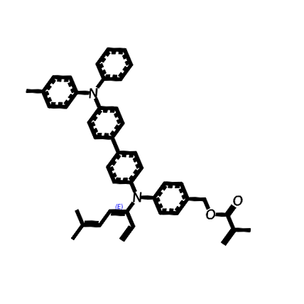 C=C/C(=C\C=C(C)C)N(c1ccc(COC(=O)C(=C)C)cc1)c1ccc(-c2ccc(N(c3ccccc3)c3ccc(C)cc3)cc2)cc1